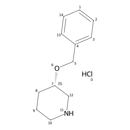 Cl.c1ccc(CO[C@H]2CCCNC2)cc1